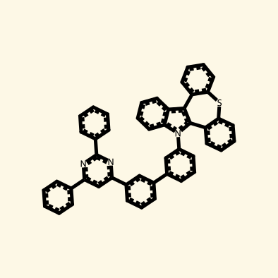 c1ccc(-c2cc(-c3cccc(-c4cccc(-n5c6c(c7ccccc75)-c5ccccc5Sc5ccccc5-6)c4)c3)nc(-c3ccccc3)n2)cc1